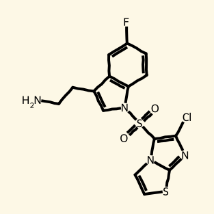 NCCc1cn(S(=O)(=O)c2c(Cl)nc3sccn23)c2ccc(F)cc12